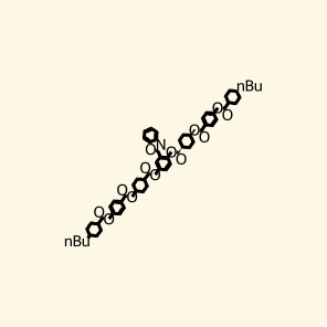 CCCCC1CCC(C(=O)Oc2ccc(C(=O)OC3CCC(C(=O)Oc4ccc(OC(=O)[C@H]5CC[C@H](OC(=O)c6ccc(OC(=O)C7CCC(CCCC)CC7)cc6)CC5)c(-c5nc6ccccc6o5)c4)CC3)cc2)CC1